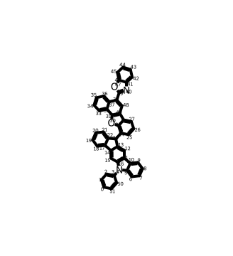 c1ccc(-n2c3ccccc3c3cc4c(cc32)-c2ccccc2C4c2cccc3c2oc2c4ccccc4c(-c4nc5ccccc5o4)cc32)cc1